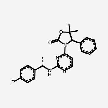 C[C@H](Nc1nccc(N2C(=O)OC(C)(C)C2c2ccccc2)n1)c1ccc(F)cc1